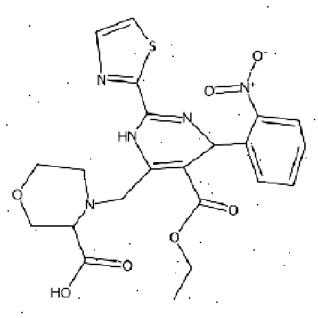 CCOC(=O)C1=C(CN2CCOCC2C(=O)O)NC(c2nccs2)=NC1c1ccccc1[N+](=O)[O-]